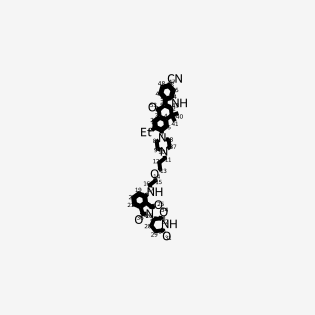 CCc1cc2c(cc1N1CCN(CCCOCCNc3cccc4c3C(=O)N(C3CCC(=O)NC3=O)C4=O)CC1)C(C)(C)c1[nH]c3cc(C#N)ccc3c1C2=O